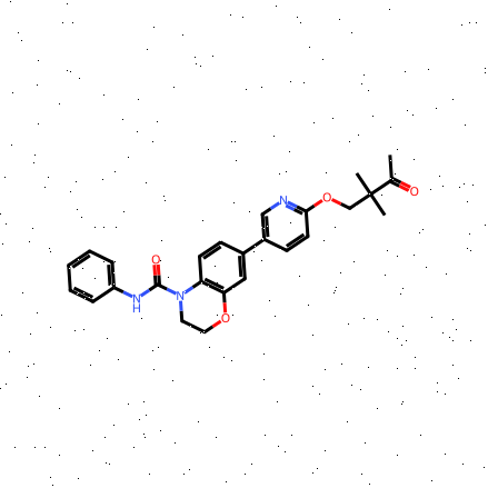 CC(=O)C(C)(C)COc1ccc(-c2ccc3c(c2)OCCN3C(=O)Nc2ccccc2)cn1